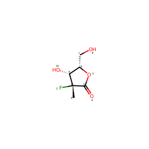 C[C@]1(F)C(=O)O[C@@H](CO)[C@H]1O